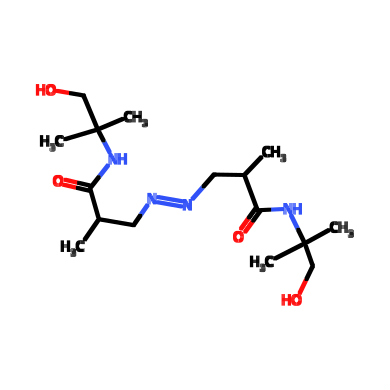 CC(CN=NCC(C)C(=O)NC(C)(C)CO)C(=O)NC(C)(C)CO